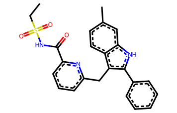 CCS(=O)(=O)NC(=O)c1cccc(Cc2c(-c3ccccc3)[nH]c3cc(C)ccc23)n1